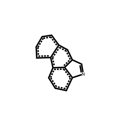 C1=Nc2cccc3c2c1cc1ccccc13